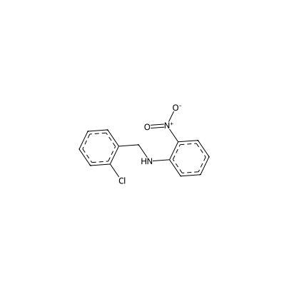 O=[N+]([O-])c1ccccc1NCc1ccccc1Cl